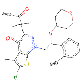 COC(=O)C(C)(C)c1nn(C[C@H](OC2CCOCC2)c2ccccc2OC)c2sc(Cl)c(C)c2c1=O